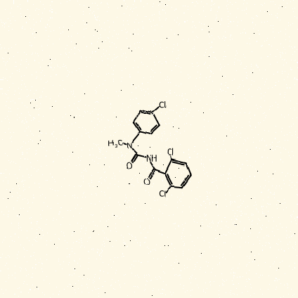 CN(C(=O)NC(=O)c1c(Cl)cccc1Cl)c1ccc(Cl)cc1